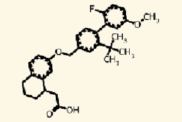 COc1ccc(F)c(-c2ccc(COc3ccc4c(c3)C(CC(=O)O)CCC4)cc2C(C)(C)C)c1